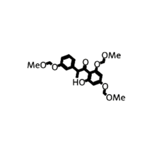 COCOc1cccc(C(C)C(=O)c2c(O)cc(OCOC)cc2OCOC)c1